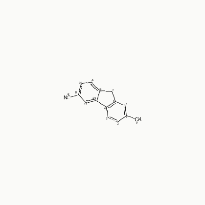 N#Cc1ccc2c(c1)Cc1ccc(C#N)cc1-2